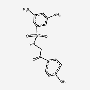 Nc1cc(N)cc(S(=O)(=O)NCC(=O)c2ccc(O)cc2)c1